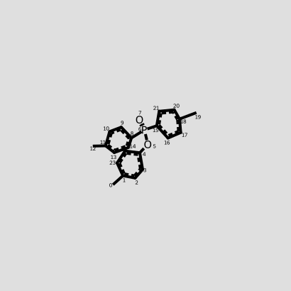 Cc1ccc(OP(=O)(c2ccc(C)cc2)c2ccc(C)cc2)cc1